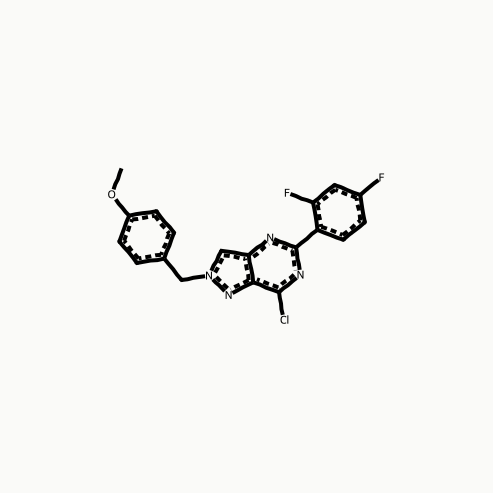 COc1ccc(Cn2cc3nc(-c4ccc(F)cc4F)nc(Cl)c3n2)cc1